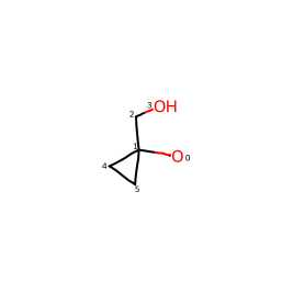 [O]C1(CO)CC1